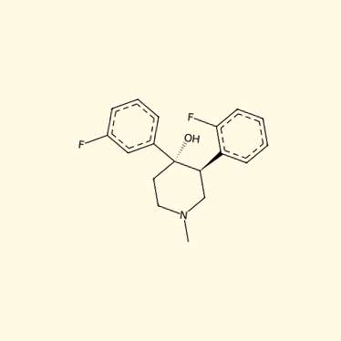 CN1CC[C@@](O)(c2cccc(F)c2)[C@@H](c2ccccc2F)C1